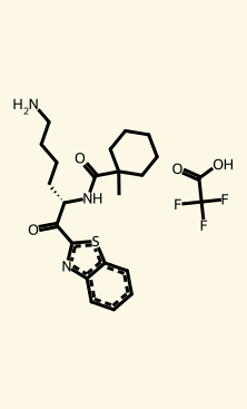 CC1(C(=O)N[C@@H](CCCCN)C(=O)c2nc3ccccc3s2)CCCCC1.O=C(O)C(F)(F)F